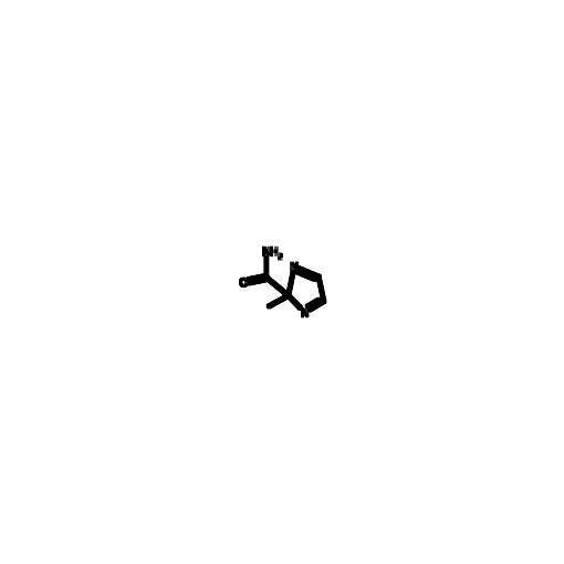 CC1(C(N)=O)N=CC=N1